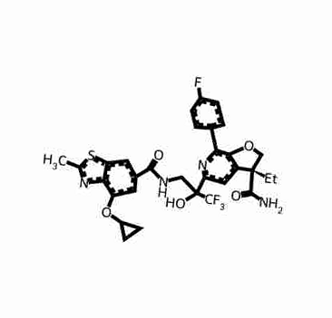 CC[C@]1(C(N)=O)COc2c1cc(C(O)(CNC(=O)c1cc(OC3CC3)c3nc(C)sc3c1)C(F)(F)F)nc2-c1ccc(F)cc1